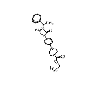 CCOC(=O)N1CCN(c2ccc(N3CNN(C(C)c4ccccc4)C3=O)cc2)CC1